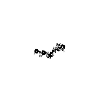 CCC(NC(Cc1ccccn1)=S(=O)=O)c1nc(-c2cc3c(Nc4ccc(OCc5cccc(F)c5)c(Br)c4)ncnc3cn2)cs1